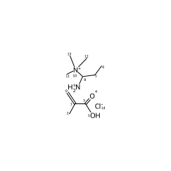 C=C(C)C(=O)O.CCC(N)[N+](C)(C)C.[Cl-]